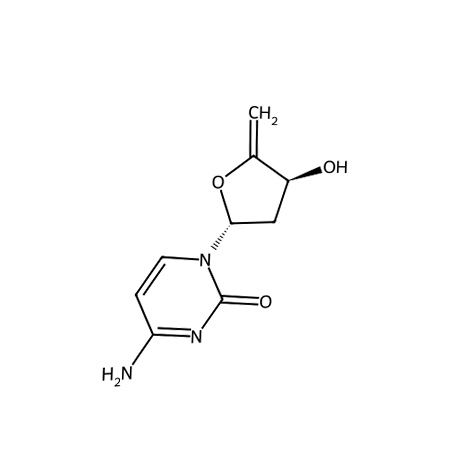 C=C1O[C@@H](n2ccc(N)nc2=O)C[C@@H]1O